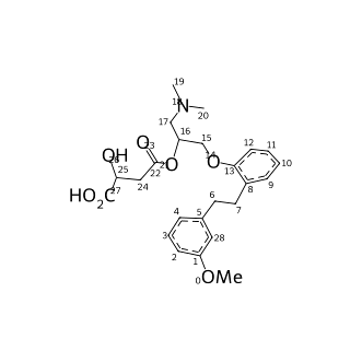 COc1cccc(CCc2ccccc2OCC(CN(C)C)OC(=O)CC(O)C(=O)O)c1